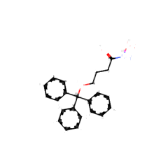 O=C(CCCOC(c1ccccc1)(c1ccccc1)c1ccccc1)NO